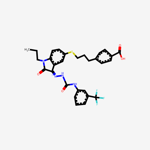 CCCN1C(=O)/C(=N/NC(=O)Nc2cccc(C(F)(F)F)c2)c2cc(SCCCc3ccc(C(=O)O)cc3)ccc21